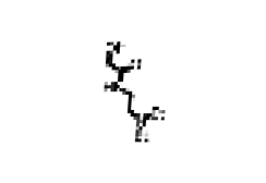 CCN(CC)CCNC(=O)CO